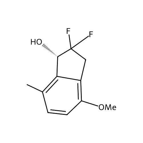 COc1ccc(C)c2c1CC(F)(F)[C@H]2O